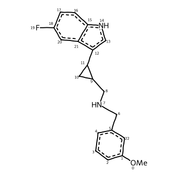 COc1cccc(CNCC2CC2c2c[nH]c3ccc(F)cc23)c1